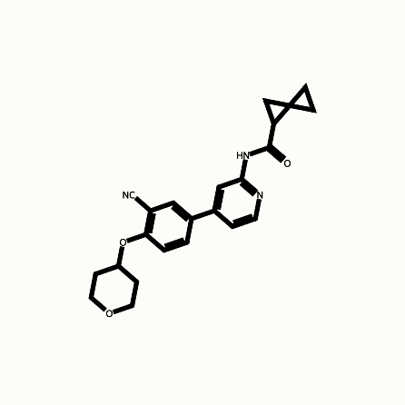 N#Cc1cc(-c2ccnc(NC(=O)C3CC34CC4)c2)ccc1OC1CCOCC1